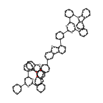 c1ccc(-c2cc(-c3ccccc3-n3c4ccccc4c4ccccc43)nc(-c3cccc(-c4cccc5c4oc4ccc(-c6ccc7c8ccccc8n(-c8ccccc8-c8cc(-c9ccccc9)nc(-c9ccccc9-c9ccc%10oc%11ccccc%11c%10c9)n8)c7c6)cc45)c3)n2)cc1